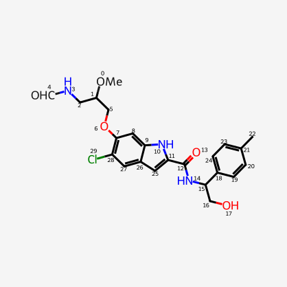 COC(CNC=O)COc1cc2[nH]c(C(=O)NC(CO)c3ccc(C)cc3)cc2cc1Cl